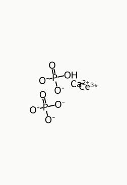 O=P([O-])([O-])O.O=P([O-])([O-])[O-].[Ca+2].[Ce+3]